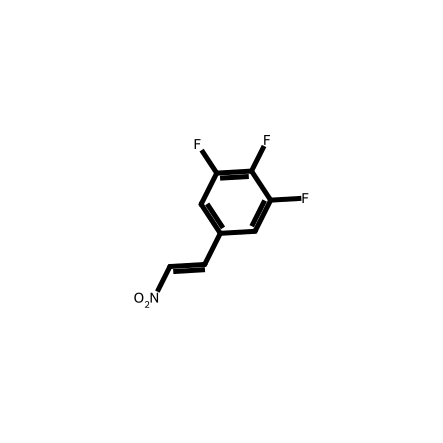 O=[N+]([O-])C=Cc1cc(F)c(F)c(F)c1